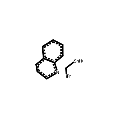 CC(C)[CH2][SnH].c1ccc2ncccc2c1